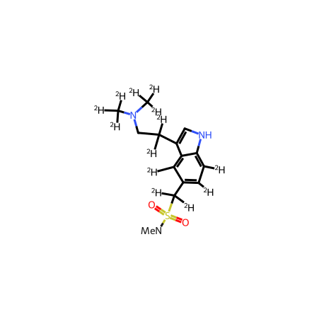 [2H]c1c(C([2H])([2H])S(=O)(=O)NC)c([2H])c2c(C([2H])([2H])CN(C([2H])([2H])[2H])C([2H])([2H])[2H])c[nH]c2c1[2H]